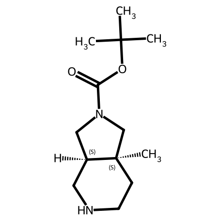 CC(C)(C)OC(=O)N1C[C@@H]2CNCC[C@]2(C)C1